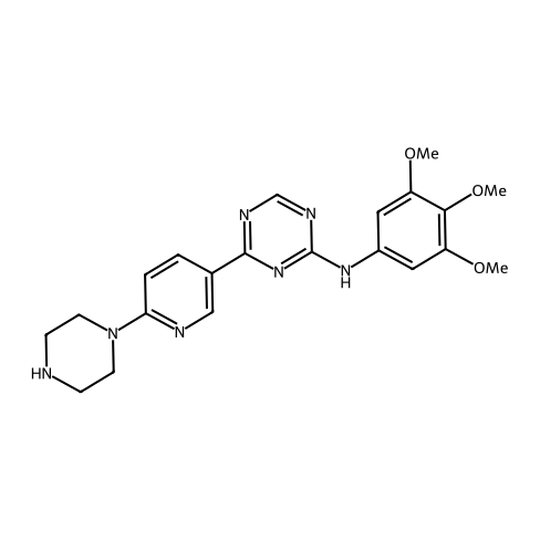 COc1cc(Nc2ncnc(-c3ccc(N4CCNCC4)nc3)n2)cc(OC)c1OC